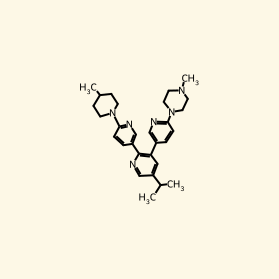 CC1CCN(c2ccc(-c3ncc(C(C)C)cc3-c3ccc(N4CCN(C)CC4)nc3)cn2)CC1